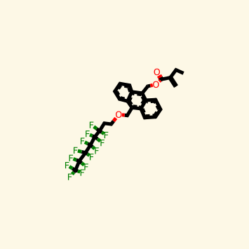 C=C(CC)C(=O)OCc1c2ccccc2c(COCCC(F)(F)C(F)(F)C(F)(F)C(F)(F)C(F)(F)C(F)(F)F)c2ccccc12